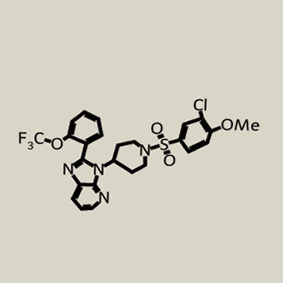 COc1ccc(S(=O)(=O)N2CCC(n3c(-c4ccccc4OC(F)(F)F)nc4cccnc43)CC2)cc1Cl